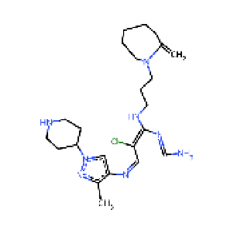 C=C1CCCCCN1CCCNC(/N=C/N)=C(Cl)/C=N\c1cn(C2CCNCC2)nc1C